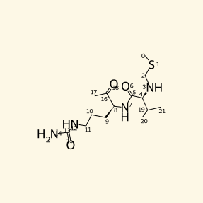 CSCN[C@H](C(=O)N[C@@H](CCCNC(N)=O)C(C)=O)C(C)C